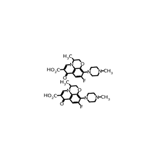 CC1COc2c(N3CCN(C)CC3)c(F)cc3c(=O)c(C(=O)O)cn1c23.CC1COc2c(N3CCN(C)CC3)c(F)cc3c(=O)c(C(=O)O)cn1c23